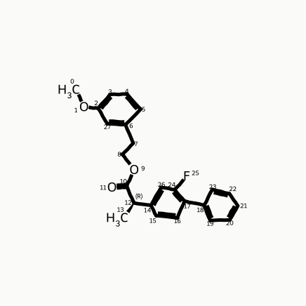 COc1cccc(CCOC(=O)[C@H](C)c2ccc(-c3ccccc3)c(F)c2)c1